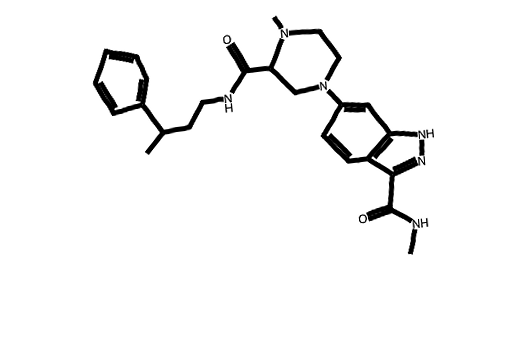 CNC(=O)c1n[nH]c2cc(N3CCN(C)C(C(=O)NCCC(C)c4ccccc4)C3)ccc12